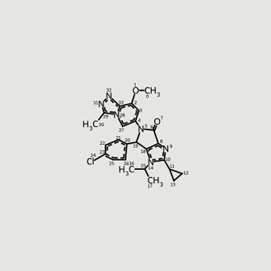 COc1cc(N2C(=O)c3nc(C4CC4)n(C(C)C)c3C2c2ccc(Cl)cc2)cn2c(C)nnc12